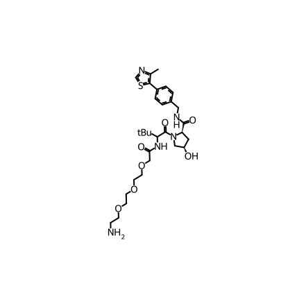 Cc1ncsc1-c1ccc(CNC(=O)[C@H]2C[C@@H](O)CN2C(=O)C(NC(=O)COCCOCCOCCN)C(C)(C)C)cc1